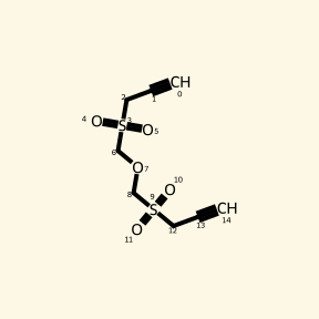 C#CCS(=O)(=O)COCS(=O)(=O)CC#C